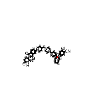 N#Cc1ccc(OC2CC3CCC(C2)N3C(=O)c2ccc(N3CCN(CC4CCN(c5ccc6c(c5)C(=O)N(C5CCC(=O)NC5=O)C6=O)CC4)CC3)nc2)cc1Cl